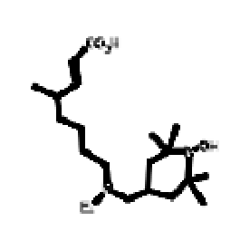 CCN(CCCCC(C)/C=C/C(=O)O)CC1CC(C)(C)N(O)C(C)(C)C1